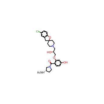 CC(=O)N[C@H]1CCN(C(=O)c2ccc(O)cc2OC[C@@H](O)CN2CCC3(CC2)Cc2cc(Cl)ccc2O3)C1